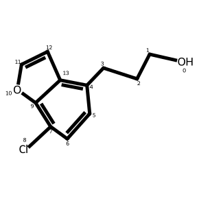 OCCCc1ccc(Cl)c2occc12